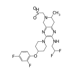 CC1Cc2nc(NCC(F)F)c(N3CCC(Oc4ccc(F)cc4F)CC3)nc2CN1C[SH](=O)=O